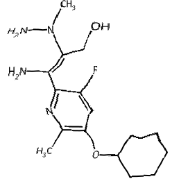 Cc1nc(/C(N)=C(\CO)N(C)N)c(F)cc1OC1CCCCC1